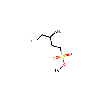 CCC(C)CCS(=O)(=O)OC